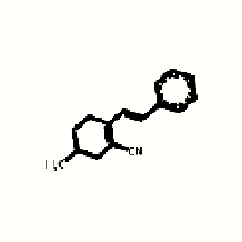 CC1CCC(C=Cc2ccccc2)=C(C#N)C1